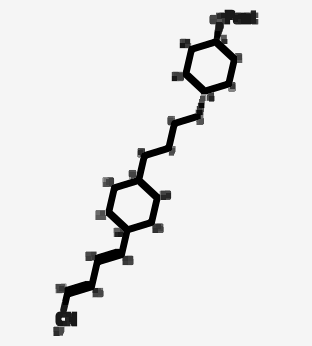 CCCCC[C@H]1CC[C@H](CCCCC2CCC(C=CC=CC#N)CC2)CC1